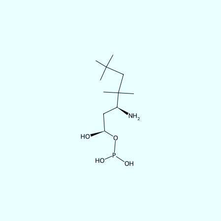 CC(C)(C)CC(C)(C)[C@@H](N)C[C@H](O)OP(O)O